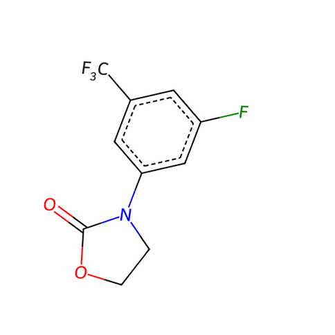 O=C1OCCN1c1cc(F)cc(C(F)(F)F)c1